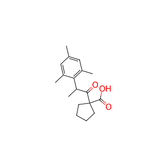 Cc1cc(C)c(C(C)C(=O)C2(C(=O)O)CCCC2)c(C)c1